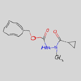 CN(NC(=O)OCc1ccccc1)C(=O)C1CC1